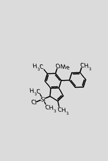 COc1c(C)cc2c(c1-c1cccc(C)c1)C=C(C)C2[Si](C)(C)Cl